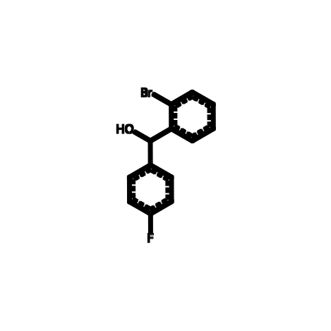 OC(c1ccc(F)cc1)c1ccccc1Br